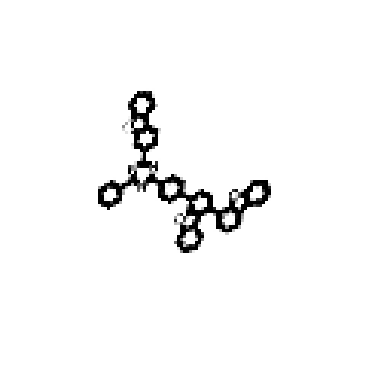 c1ccc(-c2nc(-c3ccc(-c4ccc(-c5cccc6c5oc5ccccc56)c5c4oc4ccccc45)cc3)nc(-c3ccc4c(c3)oc3ccccc34)n2)cc1